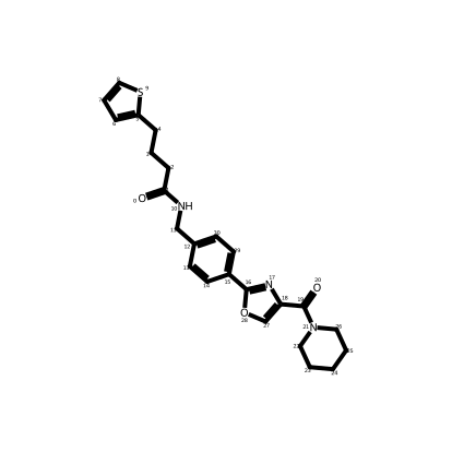 O=C(CCCc1cccs1)NCc1ccc(-c2nc(C(=O)N3CCCCC3)co2)cc1